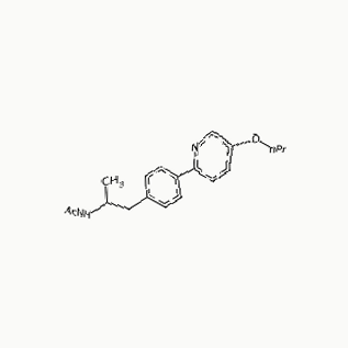 CCCOc1ccc(-c2ccc(CC(C)NC(C)=O)cc2)nc1